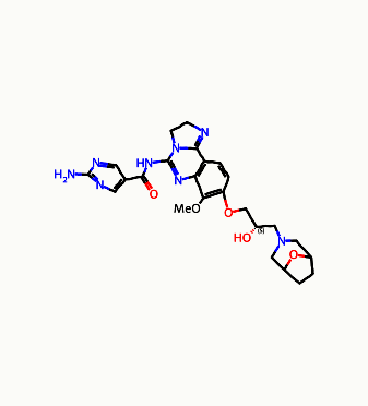 COc1c(OC[C@@H](O)CN2CC3CCC(C2)O3)ccc2c1N=C(NC(=O)c1cnc(N)nc1)N1CCN=C21